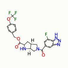 O=C(OCc1ccc(OC(F)(F)F)cc1)C1C[C@H]2CN(C(=O)c3cc(F)c4[nH]nnc4c3)C[C@H]2N1